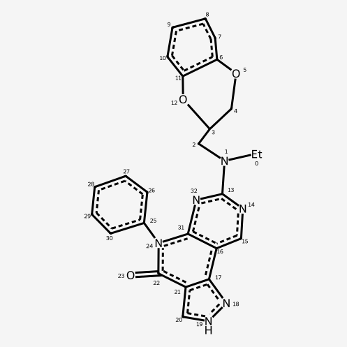 CCN(CC1COc2ccccc2O1)c1ncc2c3n[nH]cc3c(=O)n(-c3ccccc3)c2n1